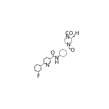 C[C@H]1CN(C(=O)[C@H]2CC[C@H](NC(=O)c3ccc(-c4cccc(F)c4)nc3)CC2)CCN1C(=O)O